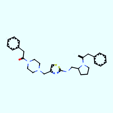 C=C(Cc1ccccc1)N1CCCC1CNc1nc(CN2CCN(C(=O)Cc3ccccc3)CC2)cs1